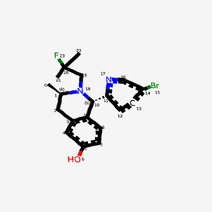 C[C@@H]1Cc2cc(O)ccc2[C@@H](c2ccc(Br)cn2)N1CC(C)(C)F